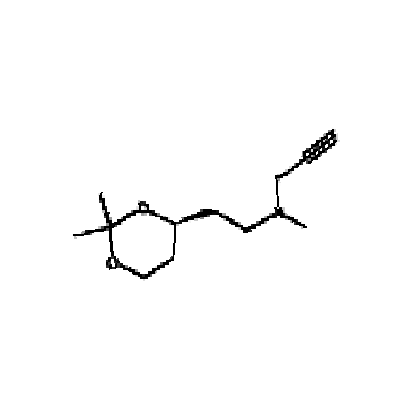 C#CCN(C)CC[C@H]1CCOC(C)(C)O1